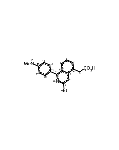 CCc1cc2c(CC(=O)O)cccc2c(-c2ccc(NC)cc2)n1